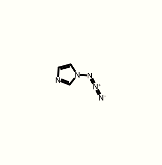 [N-]=[N+]=Nn1ccnc1